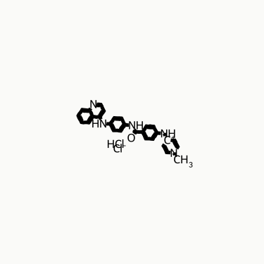 Cl.Cn1cc[c+](Nc2ccc(C(=O)Nc3ccc(Nc4ccnc5ccccc45)cc3)cc2)cc1.[Cl-]